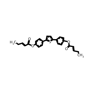 CCC=CC(=O)Oc1ccc(-c2ccc(-c3ccc(OC(=O)C=CCC)cc3)s2)cc1